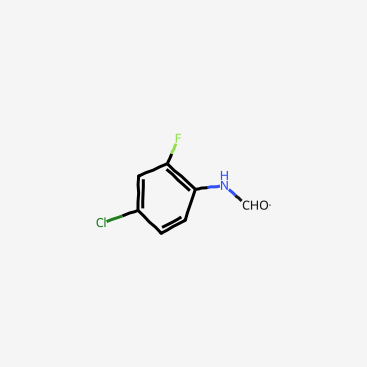 O=[C]Nc1ccc(Cl)cc1F